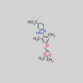 Cc1cc(OC[C@H]2COC(C)(C)O2)cc(C)c1-c1nc2ccc(C(=O)O)cc2[nH]1